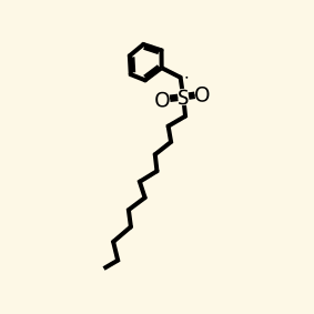 CCCCCCCCCCCCS(=O)(=O)[CH]c1ccccc1